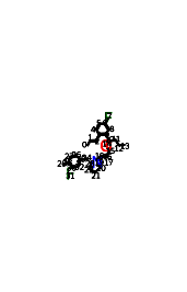 C/C=C/c1ccc(F)cc1[C@@H](CCC)OC[C@H](C)CN1CCC[C@H]1Cc1ccc(C)c(F)c1